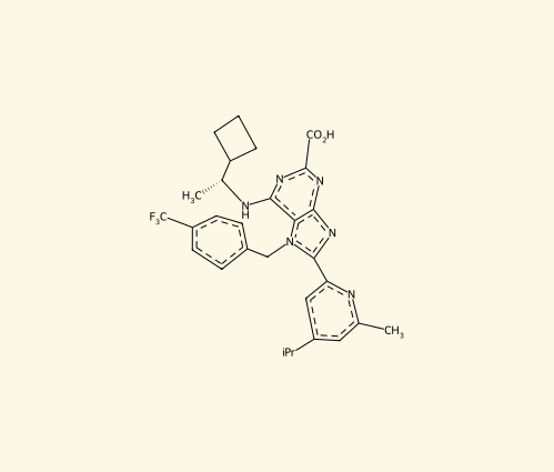 Cc1cc(C(C)C)cc(-c2nc3nc(C(=O)O)nc(N[C@H](C)C4CCC4)c3n2Cc2ccc(C(F)(F)F)cc2)n1